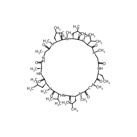 CC[C@@H]1NC(=O)CN(C)C(=O)C(C(C)C)N(C)C(=O)[C@H](CC(C)C)N(C)C(=O)[C@H](CC(C)C)N(C)C(=O)[C@@H](C)NC(=O)[C@H](C)NC(=O)[C@H](CC(C)C)N(C)C(=O)C(C(C)C)NC(=O)[C@H](CC(C)C)N(C)C(=O)CN(C)C1=O